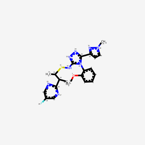 COc1ccccc1-n1c(NSC(C)C(C)c2ncc(F)cn2)nnc1-c1ccn(C)n1